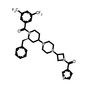 O=C(c1ccsc1)N1CC(N2CCN(C3CCN(C(=O)c4cc(C(F)(F)F)cc(C(F)(F)F)c4)[C@H](Cc4ccccc4)C3)CC2)C1